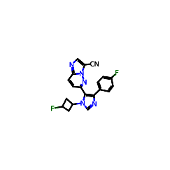 N#Cc1cnc2ccc(-c3c(-c4ccc(F)cc4)ncn3C3CC(F)C3)nn12